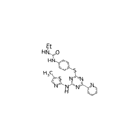 CCNC(=O)Nc1ccc(Sc2nc(Nc3ncc(C)s3)nc(-c3ccccn3)n2)cc1